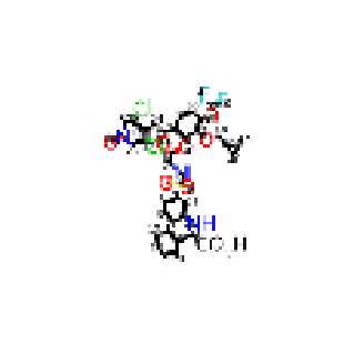 O=C(CNS(=O)(=O)c1cccc(NC(C(=O)O)c2ccccc2)c1)O[C@@H](Cc1c(Cl)c[n+]([O-])cc1Cl)c1ccc(OC(F)F)c(OCC2CC2)c1